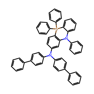 c1ccc(-c2ccc(N(c3ccc(-c4ccccc4)cc3)c3ccc4c(c3)N(c3ccccc3)c3ccccc3S4(c3ccccc3)c3ccccc3)cc2)cc1